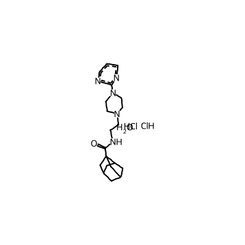 Cl.Cl.O.O=C(NCCN1CCN(c2ncccn2)CC1)C12CC3CC(CC1C3)C2